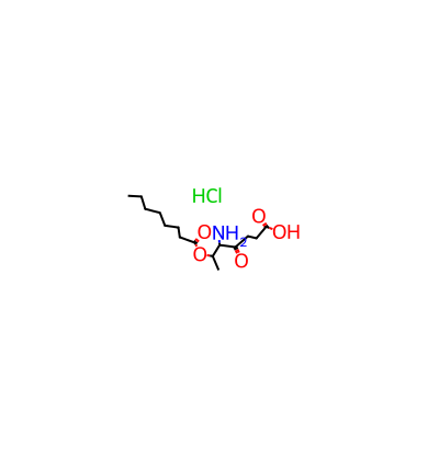 CCCCCCCC(=O)OC(C)C(N)C(=O)CCC(=O)O.Cl